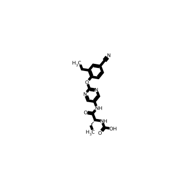 CCc1cc(C#N)ccc1Oc1ncc(NC(=O)[C@@H](CC)NC(=O)O)cn1